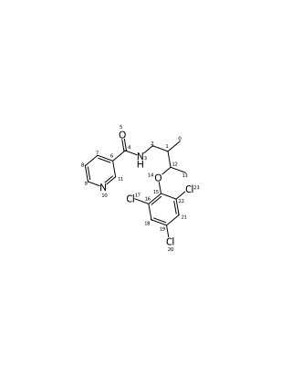 CC(CNC(=O)c1cccnc1)C(C)Oc1c(Cl)cc(Cl)cc1Cl